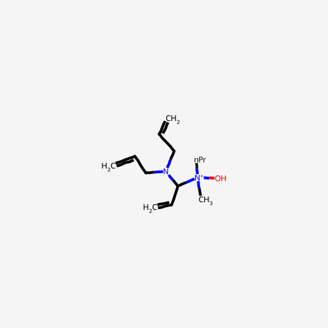 C=CCN(CC=C)C(C=C)[N+](C)(O)CCC